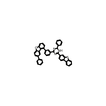 c1ccc(-c2ccc3oc4cccc(-c5cccc(C6=NC(c7ccccc7)NC(c7ccc8c(c7)sc7ccccc78)=N6)c5)c4c3c2)cc1